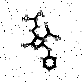 Cc1nc(Oc2ccccc2)n(C(N)=O)c1CCC(C)C